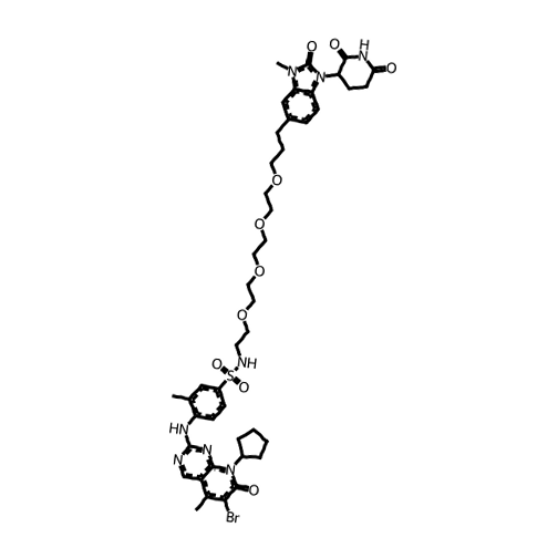 Cc1cc(S(=O)(=O)NCCOCCOCCOCCOCCCc2ccc3c(c2)n(C)c(=O)n3C2CCC(=O)NC2=O)ccc1Nc1ncc2c(C)c(Br)c(=O)n(C3CCCC3)c2n1